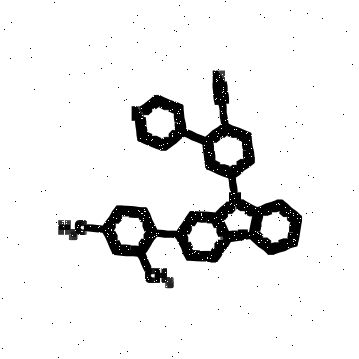 Cc1ccc(-c2ccc3c4ccccc4n(-c4ccc(C#N)c(-c5ccncc5)c4)c3c2)c(C)c1